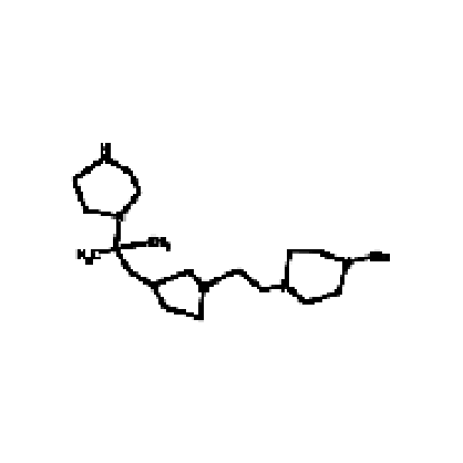 CC(C)(C)N1CCN(CCN2CCC(CC(C)(C)N3CCNCC3)C2)CC1